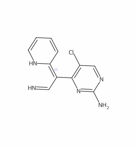 N=C/C(=C1/C=CC=CN1)c1nc(N)ncc1Cl